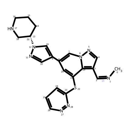 C/N=C\c1cnn2cc(-c3cnn([C@H]4CCCNC4)c3)cc(Sc3cccnn3)c12